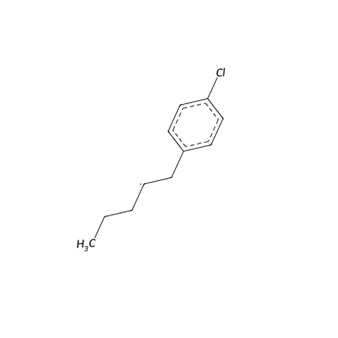 CCC[CH]Cc1ccc(Cl)cc1